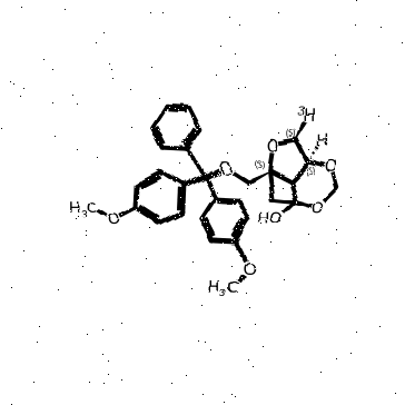 [3H][C@@H]1O[C@@]2(COC(c3ccccc3)(c3ccc(OC)cc3)c3ccc(OC)cc3)CC3(O)OCO[C@H]1C32